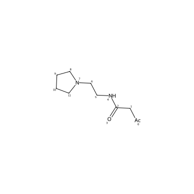 CC(=O)CC(=O)NCCN1CCCC1